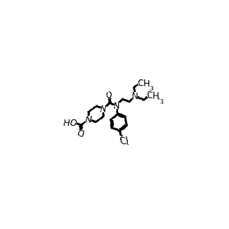 CCN(CC)CCN(C(=O)N1CCN(C(=O)O)CC1)c1ccc(Cl)cc1